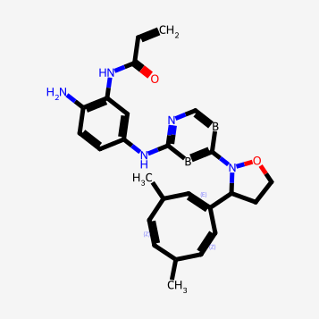 C=CC(=O)Nc1cc(Nc2bc(N3OCCC3C3=C/C(C)/C=C\C(C)/C=C\3)bcn2)ccc1N